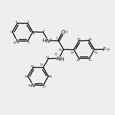 O=C(NCc1cccnc1)C(NCc1ccncc1)c1ccc(F)cc1